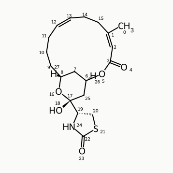 C/C1=C/C(=O)O[C@@H]2C[C@@H](CCC/C=C\CC1)O[C@@](O)([C@@H]1CSC(=O)N1)C2